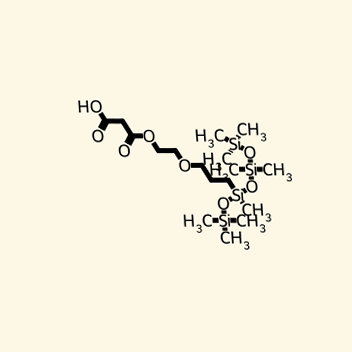 C[Si](C)(C)O[Si](C)(C)O[Si](C)(CCCOCCOC(=O)CC(=O)O)O[Si](C)(C)C